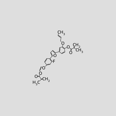 C=C(C)C(=O)O/C=C\Oc1ccc(-c2ccc(-c3ccc(OC(=O)C(=C)C)c(OC/C=C/C)c3)o2)c(F)c1